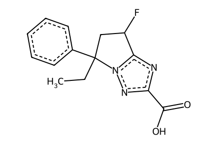 CCC1(c2ccccc2)CC(F)c2nc(C(=O)O)nn21